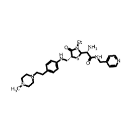 CCN1C(=O)[C@@H](CNc2ccc(CCN3CCN(C)CC3)cc2)SC1[C@H](N)C(=O)NCc1ccncc1